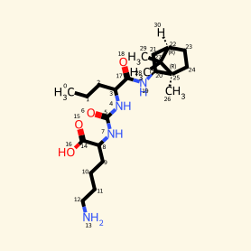 CCCC(NC(=O)NC(CCCCN)C(=O)O)C(=O)N[C@H]1C[C@H]2CC[C@]1(C)C2(C)C